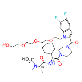 C[C@@H](C(=O)N[C@H](C(=O)N1CCN(C(=O)c2cc3cc(F)c(F)cc3n2CCOCCOCCOCCO)CC1)C1CCCCC1)N(C)C(=O)O